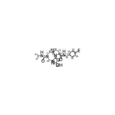 CC(C)NC(=O)N1CC[C@H]2CC[C@@H](C(=O)NCc3ccc(F)cc3)N2C(=O)[C@@H](N)C1.Cl